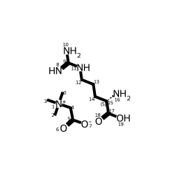 C[N+](C)(C)CC(=O)[O-].N=C(N)NCCC[C@H](N)C(=O)O